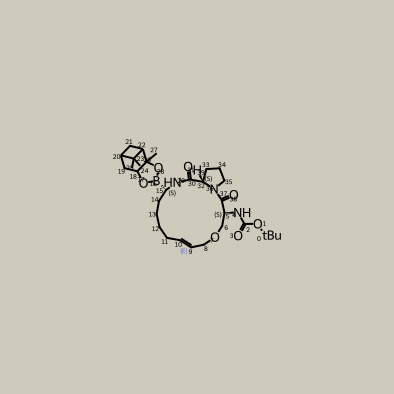 CC(C)(C)OC(=O)N[C@H]1COC/C=C/CCCC[C@H](B2OC3CC4CC(C4(C)C)C3(C)O2)NC(=O)[C@@H]2CCCN2C1=O